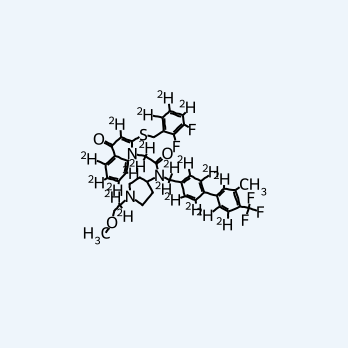 [2H]c1c([2H])c(F)c(F)c(CSc2c([2H])c(=O)c3c([2H])c([2H])c([2H])c([2H])c3n2C([2H])([2H])C(=O)N(C2CCN(C([2H])([2H])COC)CC2)C([2H])([2H])c2c([2H])c([2H])c(-c3c([2H])c([2H])c(C(F)(F)F)c(C)c3[2H])c([2H])c2[2H])c1[2H]